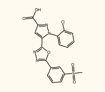 CS(=O)(=O)c1cccc(-c2nnc(-c3cc(C(=O)O)nn3-c3ccccc3Cl)o2)c1